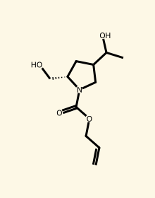 C=CCOC(=O)N1CC(C(C)O)C[C@H]1CO